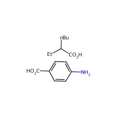 CCCCC(CC)C(=O)O.Nc1ccc(C(=O)O)cc1